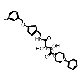 O=C(NCc1ccc(OCc2cccc(F)c2)cc1)[C@H](O)[C@@H](O)C(=O)N1CCN(c2ccccc2)CC1